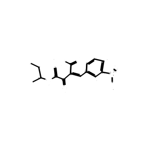 CCC(C)OC(=O)C(=O)C(=Cc1cccc([N+](=O)[O-])c1)C(=O)O